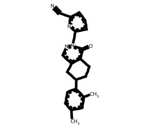 Cc1ccc(C2CCc3c(cnn(-c4cccc(C#N)n4)c3=O)C2)c(C)c1